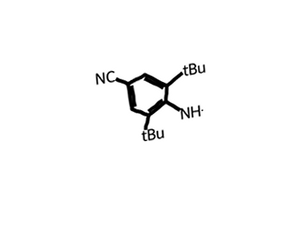 CC(C)(C)c1cc(C#N)cc(C(C)(C)C)c1[NH]